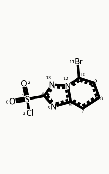 O=S(=O)(Cl)c1nc2cccc(Br)n2n1